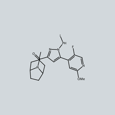 COc1cc(-c2cc(C(=O)N3C4CCC3CC(C)C4)nn2PI)c(F)cn1